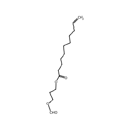 C=CCCCCCCCCC(=O)OCCCOC=O